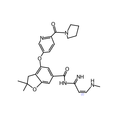 CN/C=C\C(=N)NC(=O)c1cc(Oc2ccc(C(=O)N3CCCC3)nc2)c2c(c1)OC(C)(C)C2